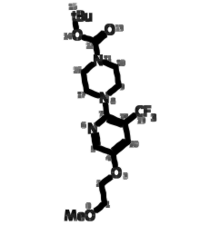 COCCOc1cnc(N2CCN(C(=O)OC(C)(C)C)CC2)c(C(F)(F)F)c1